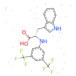 O=C(O)[C@H](Cc1c[nH]c2ccccc12)Nc1cc(C(F)(F)F)cc(C(F)(F)F)c1